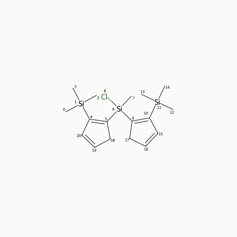 C[Si](C)(C)C1=C([Si](C)(Cl)C2=C([Si](C)(C)C)C=CC2)CC=C1